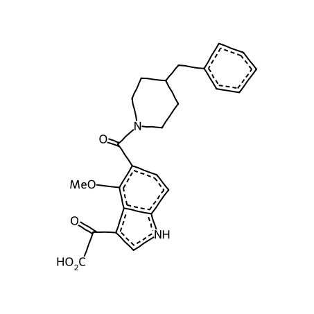 COc1c(C(=O)N2CCC(Cc3ccccc3)CC2)ccc2[nH]cc(C(=O)C(=O)O)c12